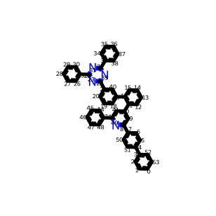 c1ccc(-c2ccc(-c3cc(-c4ccccc4-c4cccc(-c5nc(-c6ccccc6)nc(-c6ccccc6)n5)c4)cc(-c4ccccc4)n3)cc2)cc1